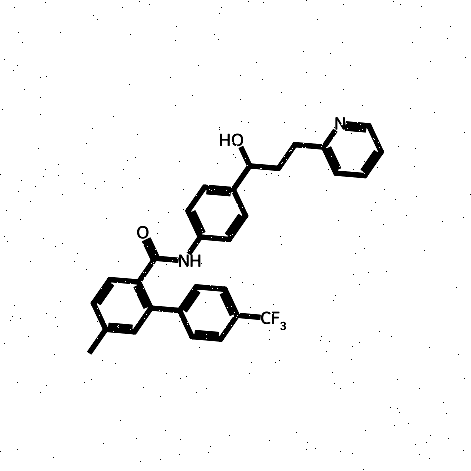 Cc1ccc(C(=O)Nc2ccc(C(O)CCc3ccccn3)cc2)c(-c2ccc(C(F)(F)F)cc2)c1